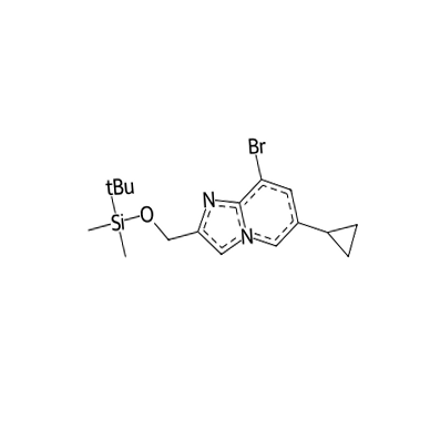 CC(C)(C)[Si](C)(C)OCc1cn2cc(C3CC3)cc(Br)c2n1